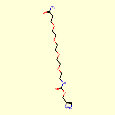 NC(=O)CCOCCOCCOCCOCCNC(=O)OCC1=CN=N1